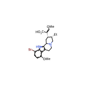 CC[C@@H]1CN2CCc3c([nH]c4c(Br)ccc(OC)c34)C2C[C@@H]1C(=COC)C(=O)O